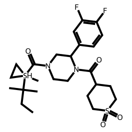 CCC(C)(C)[SH]1(C)(C(=O)N2CCN(C(=O)C3CCS(=O)(=O)CC3)C(c3ccc(F)c(F)c3)C2)CC1